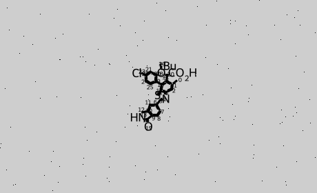 Cc1cc2nc(-c3ccc4c(c3)CNC4=O)sc2c(-c2ccc(Cl)cc2)c1C(OC(C)(C)C)C(=O)O